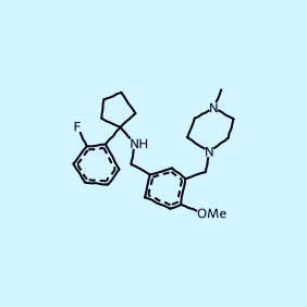 COc1ccc(CNC2(c3ccccc3F)CCCC2)cc1CN1CCN(C)CC1